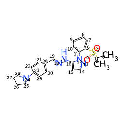 CC(C)S(=O)(=O)c1ccccc1-n1nccc1N/N=C/c1ccc(N2CCCC2)cc1